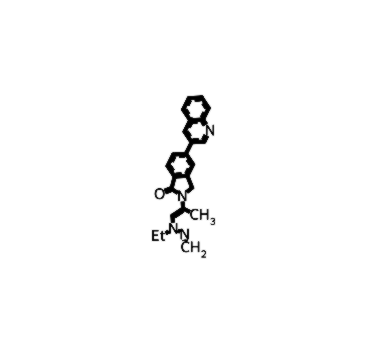 C=NN(/C=C(\C)N1Cc2cc(-c3cnc4ccccc4c3)ccc2C1=O)CC